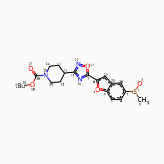 C[S+]([O-])c1ccc2oc(-c3nc(C4CCN(C(=O)OC(C)(C)C)CC4)no3)cc2c1